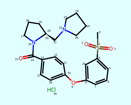 CS(=O)(=O)c1cccc(Oc2ccc(C(=O)N3CCC[C@H]3CN3CCCC3)cc2)c1.Cl